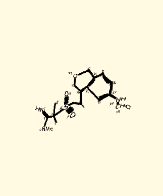 CNC(=N)C(C)(C)S(=O)(=O)CC1COCc2ccc(NC=O)cc21